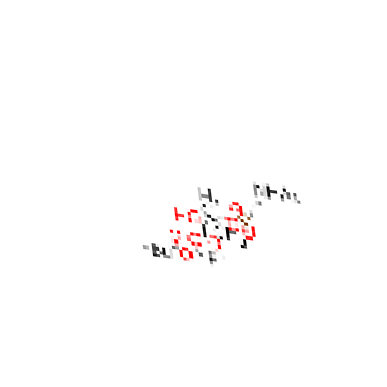 CCCCC(=O)OC(OC(=O)[C@H](O)C(C)(C)COS(=O)(=O)CCCNC(C)=O)C(C)C